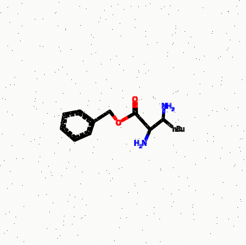 CCCCC(N)C(N)C(=O)OCc1ccccc1